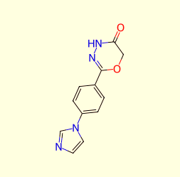 O=C1COC(c2ccc(-n3ccnc3)cc2)=NN1